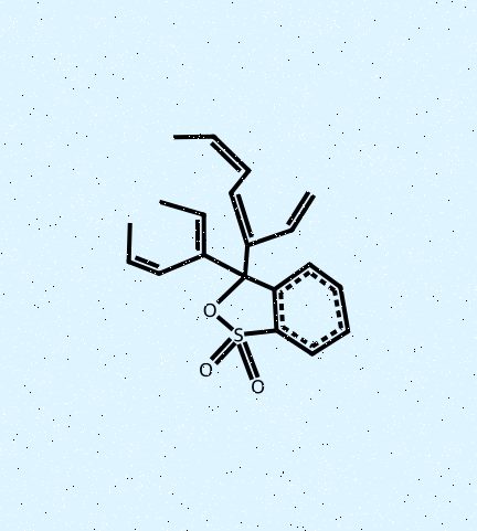 C=C/C(=C\C=C/C)C1(C(/C=C\C)=C/C)OS(=O)(=O)c2ccccc21